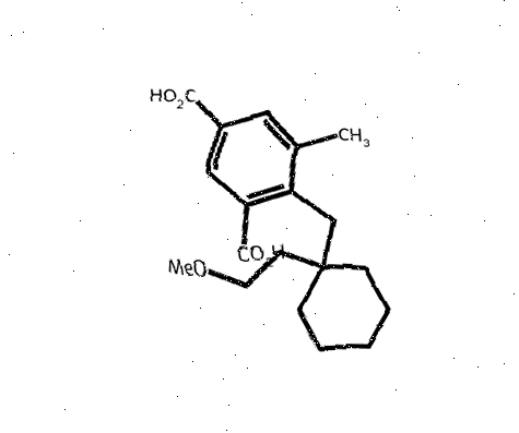 COCCC1(Cc2c(C)cc(C(=O)O)cc2C(=O)O)CCCCC1